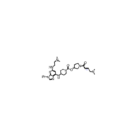 CC(C)n1cnc2c(NC3CCN(C(=O)O[C@H]4CCN(C(=O)/C=C/CN(C)C)C4)CC3)cc(NCCN(C)C)nc21